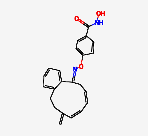 C=C1/C=C\C=C/C/C(=N\Oc2ccc(C(=O)NO)cc2)c2ccccc2CC1